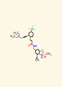 C#Cc1cc(CNC(=O)/C=C/c2ccc(C(F)(F)F)cc2C#CCN(CC)CC)cc(F)c1NS(C)(=O)=O